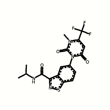 CC(C)NC(=O)c1nsc2ccc(-n3c(=O)cc(C(F)(F)F)n(C)c3=O)cc12